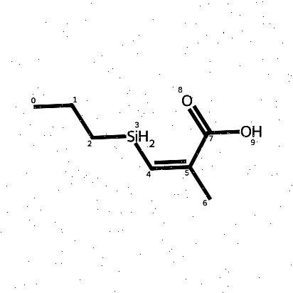 CCC[SiH2]C=C(C)C(=O)O